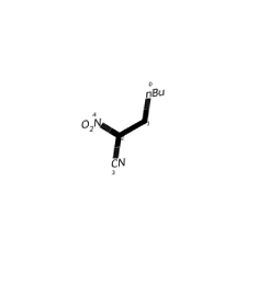 CCCCCC(C#N)[N+](=O)[O-]